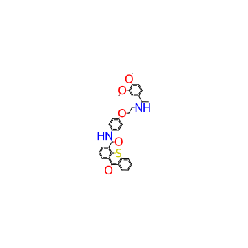 COc1ccc(C(C)NCCOc2ccc(NC(=O)c3cccc4c(=O)c5ccccc5sc34)cc2)cc1OC